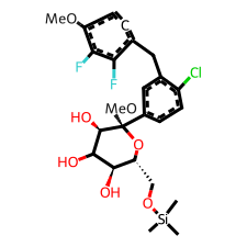 COc1ccc(Cc2cc([C@]3(OC)O[C@H](CO[Si](C)(C)C)[C@@H](O)C(O)[C@H]3O)ccc2Cl)c(F)c1F